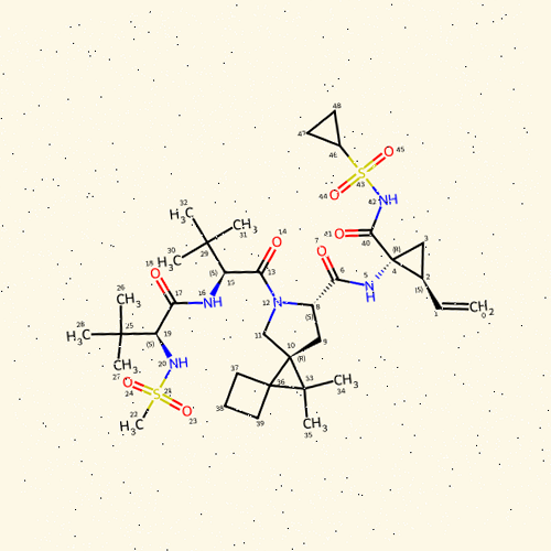 C=C[C@@H]1C[C@]1(NC(=O)[C@@H]1C[C@@]2(CN1C(=O)[C@@H](NC(=O)[C@@H](NS(C)(=O)=O)C(C)(C)C)C(C)(C)C)C(C)(C)C21CCC1)C(=O)NS(=O)(=O)C1CC1